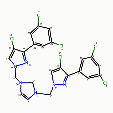 Clc1cc(Cl)cc(-c2nn(CN3C=CN(Cn4cc(Cl)c(-c5cc(Cl)cc(Cl)c5)n4)C3)cc2Cl)c1